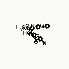 CNC(=O)Nc1cnc(N2CCC(OCc3ccccc3)CC2)cc1C(=O)N1CCC2(CC1)CC(=O)c1cc(C#N)ccc1O2